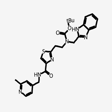 Cc1cc(CNC(=O)c2csc(CCN(Cc3nc4ccccc4[nH]3)C(=O)OC(C)(C)C)n2)ccn1